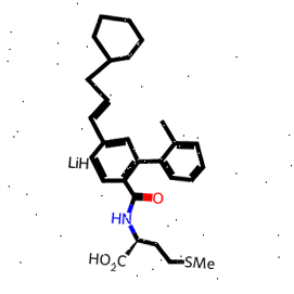 CSCC[C@H](NC(=O)c1ccc(C=CCC2CCCCC2)cc1-c1ccccc1C)C(=O)O.[LiH]